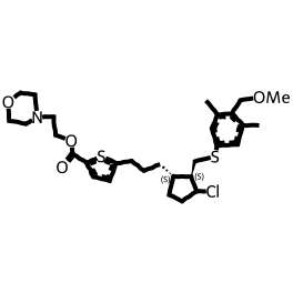 COCc1c(C)cc(SC[C@H]2C(Cl)CC[C@@H]2CCCc2ccc(C(=O)OCCN3CCOCC3)s2)cc1C